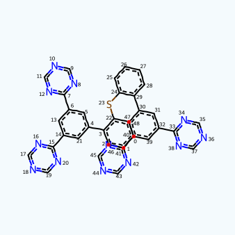 c1ccc(-c2cc(-c3ncncn3)cc(-c3ncncn3)c2)c(Sc2ccccc2-c2cc(-c3ncncn3)cc(-c3ncncn3)c2)c1